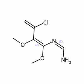 C=C(Cl)/C(OC)=C(\N=C/N)OC